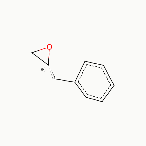 c1ccc(C[C@@H]2CO2)cc1